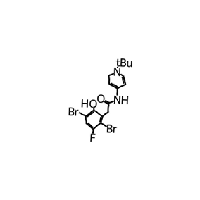 CC(C)(C)N1C=CC(NC(=O)Cc2c(O)c(Br)cc(F)c2Br)=CC1